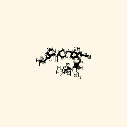 Cc1c(CN2CCC(Nc3ncnc4sc(CC(F)(F)F)cc34)CC2)ccc2c1cc(C#N)n2CC12CC(NC(=O)C(C)(C)N)(C1)[C@H]2C